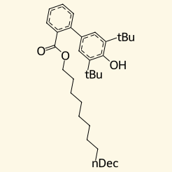 CCCCCCCCCCCCCCCCCCOC(=O)c1ccccc1-c1cc(C(C)(C)C)c(O)c(C(C)(C)C)c1